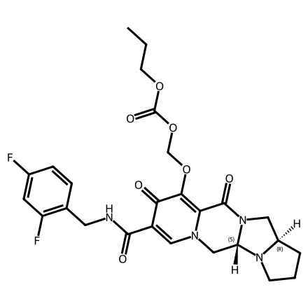 CCCOC(=O)OCOc1c2n(cc(C(=O)NCc3ccc(F)cc3F)c1=O)C[C@@H]1N(C[C@H]3CCCN31)C2=O